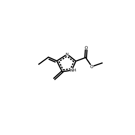 C=c1[nH]c(C(=O)OC)n/c1=C/C